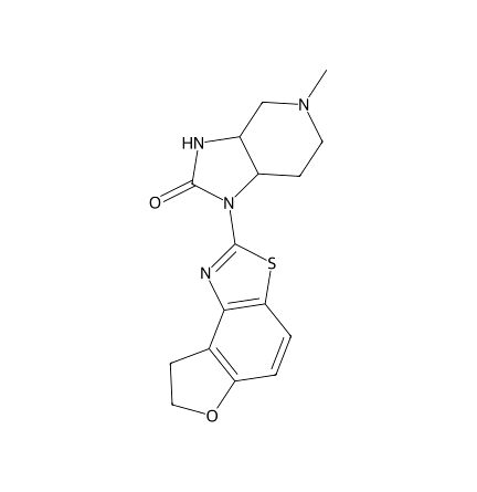 CN1CCC2C(C1)NC(=O)N2c1nc2c3c(ccc2s1)OCC3